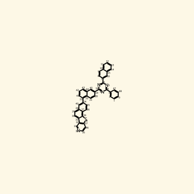 c1ccc(-c2nc(-c3ccc4ccccc4c3)nc(-c3ccc4c(-c5ccc6c(ccc7c8cnccc8sc67)c5)cccc4c3)n2)cc1